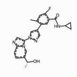 Cc1cc(F)c(C(=O)NC2CC2)cc1-c1cnn(-c2cnc3ccc([C@@H](C)O)cn23)c1